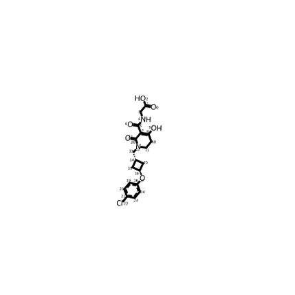 O=C(O)CNC(=O)C1=C(O)CCN(C[C@H]2C[C@H](Oc3ccc(Cl)cc3)C2)C1=O